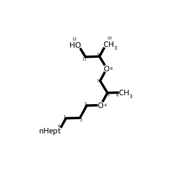 CCCCCCCCCCOC(C)COC(C)CO